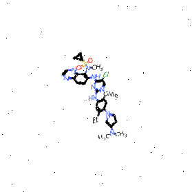 CCc1cc(Nc2ncc(Cl)c(Nc3ccc4nccnc4c3N(C)S(=O)(=O)C3CC3)n2)c(OC)cc1N1CCC(N(C)C)C1